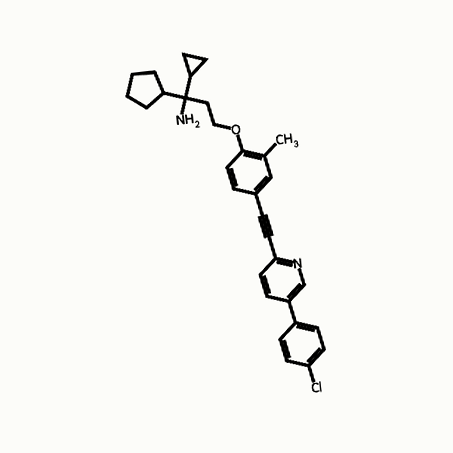 Cc1cc(C#Cc2ccc(-c3ccc(Cl)cc3)cn2)ccc1OCCC(N)(C1CCCC1)C1CC1